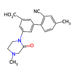 Cc1ccc(-c2cc(C(=O)O)cc(N3CCN(C)CC3=O)c2)c(C#N)c1